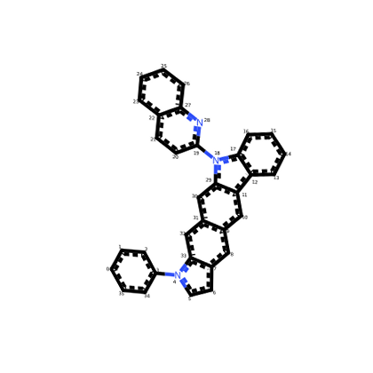 c1ccc(-n2ccc3cc4cc5c6ccccc6n(-c6ccc7ccccc7n6)c5cc4cc32)cc1